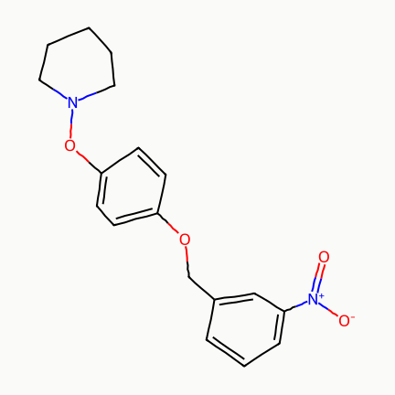 O=[N+]([O-])c1cccc(COc2ccc(ON3CCCCC3)cc2)c1